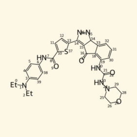 CCN(CC)c1ccc(NC(=O)c2ccc(C3=C4C(=O)c5c(NC(=O)NN6CCOCC6)cccc5C4N=N3)s2)cc1